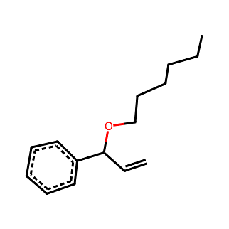 C=CC(OCCCCCC)c1ccccc1